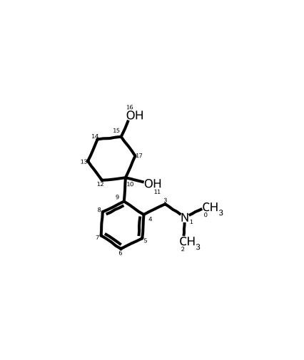 CN(C)Cc1ccccc1C1(O)CCCC(O)C1